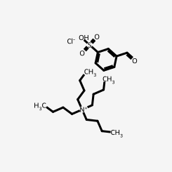 CCCC[N+](CCCC)(CCCC)CCCC.O=Cc1cccc(S(=O)(=O)O)c1.[Cl-]